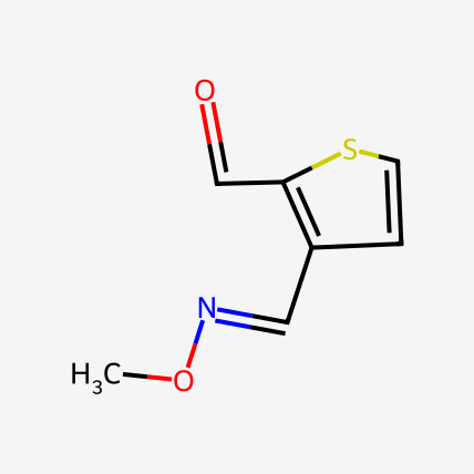 CO/N=C/c1ccsc1C=O